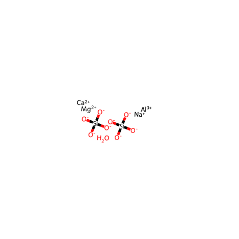 O.[Al+3].[Ca+2].[Mg+2].[Na+].[O-][Si]([O-])([O-])[O-].[O-][Si]([O-])([O-])[O-]